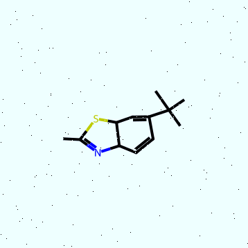 CC1=NC2C=CC(C(C)(C)C)=CC2S1